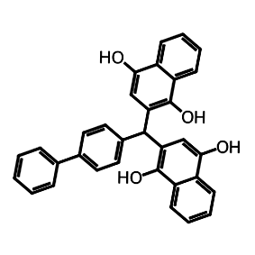 Oc1cc(C(c2ccc(-c3ccccc3)cc2)c2cc(O)c3ccccc3c2O)c(O)c2ccccc12